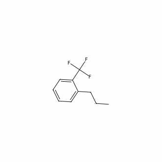 C[CH]Cc1ccccc1C(F)(F)F